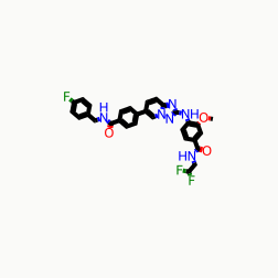 COc1cc(C(=O)NCC(F)F)ccc1Nc1nc2ccc(-c3ccc(C(=O)NCc4ccc(F)cc4)cc3)cn2n1